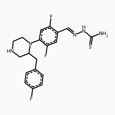 NC(=S)NN=Cc1cc(F)c(N2CCNCC2Cc2ccc(F)cc2)cc1F